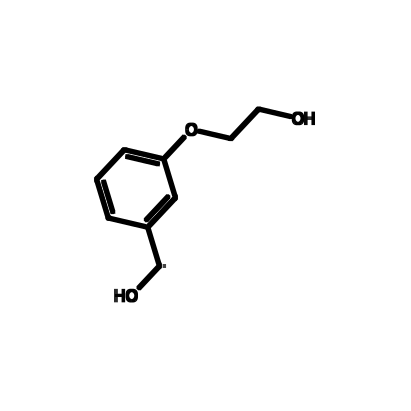 O[CH]c1cccc(OCCO)c1